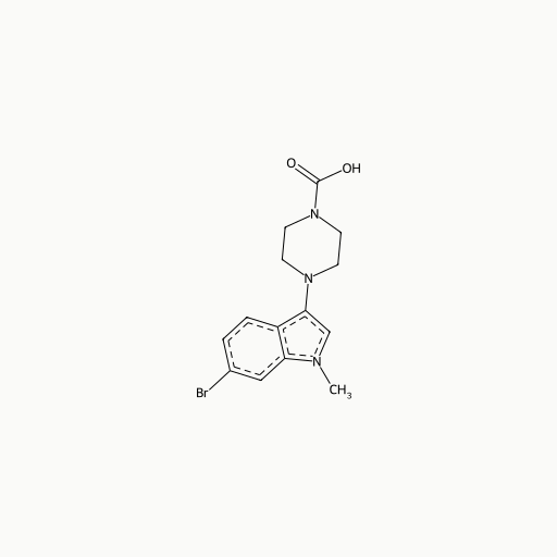 Cn1cc(N2CCN(C(=O)O)CC2)c2ccc(Br)cc21